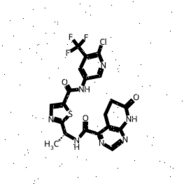 C[C@@H](NC(=O)c1ncnc2c1CCC(=O)N2)c1ncc(C(=O)Nc2cnc(Cl)c(C(F)(F)F)c2)s1